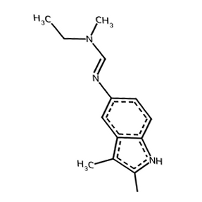 CCN(C)C=Nc1ccc2[nH]c(C)c(C)c2c1